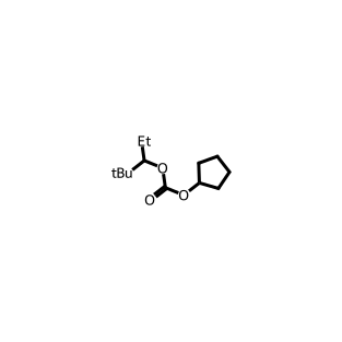 CCC(OC(=O)OC1CCCC1)C(C)(C)C